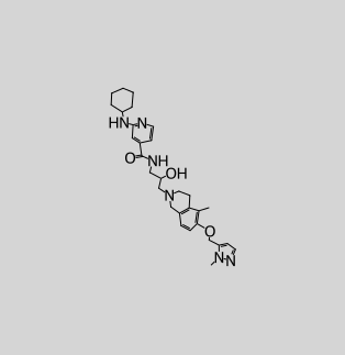 Cc1c(OCc2ccnn2C)ccc2c1CCN(CC(O)CNC(=O)c1ccnc(NC3CCCCC3)c1)C2